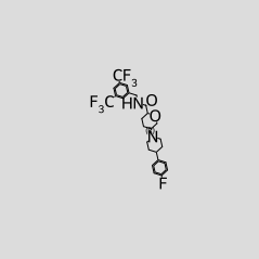 O=C(NCc1cc(C(F)(F)F)cc(C(F)(F)F)c1)C1CC[C@@H](N2CCC(c3ccc(F)cc3)CC2)CO1